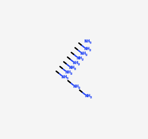 CN.CN.CN.CN.CN.CN.CN.CN.CN.N